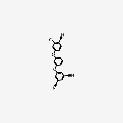 N#Cc1cc(C#N)cc(Oc2cccc(Oc3ccc(C#N)c(Cl)c3)c2)c1